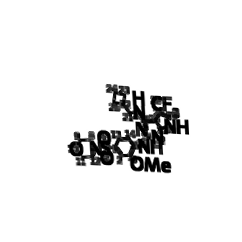 COc1cc(S(=O)(=O)N2CCOCC2)ccc1Nc1nc(NCC2CCC2)c2c(C(F)(F)F)c[nH]c2n1